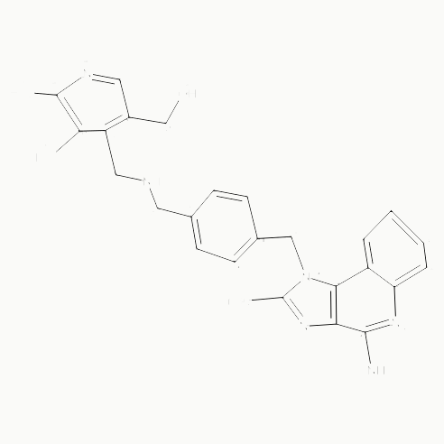 CCCCc1nc2c(N)nc3ccccc3c2n1Cc1ccc(CNCc2c(CO)cnc(C)c2O)cc1